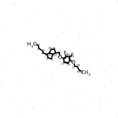 CCCCCC1CCC2C(COc3ccc(OCCCC)c(F)c3F)CCC12